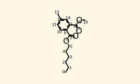 CCCCCCOC(=O)c1ccc(C)cc1C(=O)OC